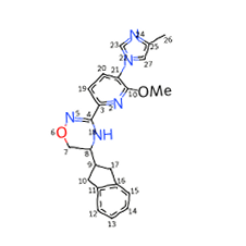 COc1nc(C2=NOCC(C3Cc4ccccc4C3)N2)ccc1-n1cnc(C)c1